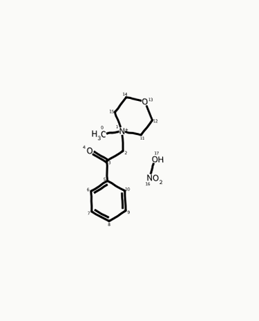 C[N+]1(CC(=O)c2ccccc2)CCOCC1.O=[N+]([O-])O